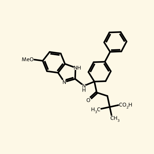 COc1ccc2[nH]c(NC3(C(=O)CC(C)(C)C(=O)O)C=CC(c4ccccc4)=CC3)nc2c1